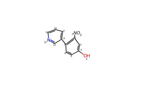 O=[N+]([O-])c1cc(O)ccc1-c1cccnc1